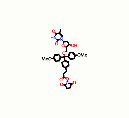 COc1ccc(C(OC[C@H]2O[C@@H](n3cc(C)c(=O)[nH]c3=O)CC2O)(c2ccc(CCC(=O)ON3C(=O)CCC3=O)cc2)c2ccc(OC)cc2)cc1